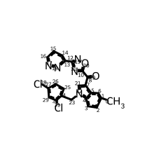 Cc1ccc2c(c1)c(C(=O)c1nc(-c3cccnn3)no1)cn2Cc1ccc(Cl)cc1Cl